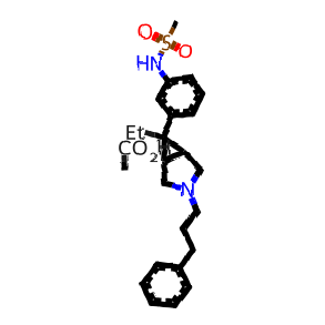 CC(=O)O.CCC1(c2cccc(NS(C)(=O)=O)c2)C2CN(CCCc3ccccc3)CC21